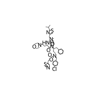 CC(C)c1nc(CN(C)C(=O)NC(CCN2CCOCC2)C(=O)NC(CCN(Cc2ccc(Cl)cc2)C(=O)OCc2cncs2)Cc2ccccc2)cs1